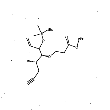 C#CC[C@@H](C)[C@H](OCCC(=O)OCCC)C(C=C)O[Si](C)(C)C(C)(C)C